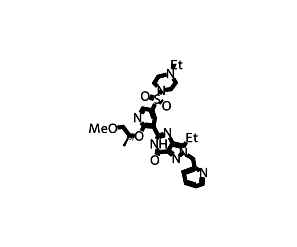 CCc1c2nc(-c3cc(S(=O)(=O)N4CCN(CC)CC4)cnc3O[C@@H](C)COC)[nH]c(=O)c2nn1Cc1ccccn1